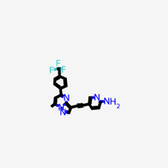 Cc1cc(-c2ccc(C(F)(F)F)cc2)nc2c(C#Cc3ccc(N)nc3)cnn12